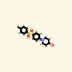 Cc1ccc(S(=O)(=O)c2ccc(N3CCC(=O)CC3)cc2)cc1